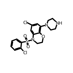 O=S(=O)(c1ccccc1Cl)N1CCOc2c(N3CCNCC3)cc(Cl)cc21